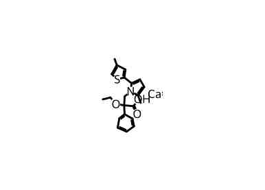 CCOC(Cn1c(C)ccc1-c1cc(C)cs1)(C(=O)O)c1ccccc1.[Ca]